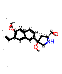 C=Cc1cc2cc([C@@]3(OC)CN[C@H](C=O)C3)ccc2cc1OC